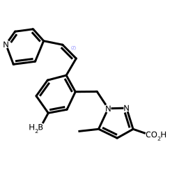 Bc1ccc(/C=C\c2ccncc2)c(Cn2nc(C(=O)O)cc2C)c1